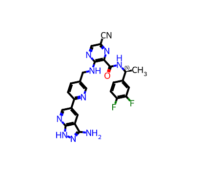 C[C@H](NC(=O)c1nc(C#N)cnc1NCc1ccc(-c2cnc3[nH]nc(N)c3c2)nc1)c1ccc(F)c(F)c1